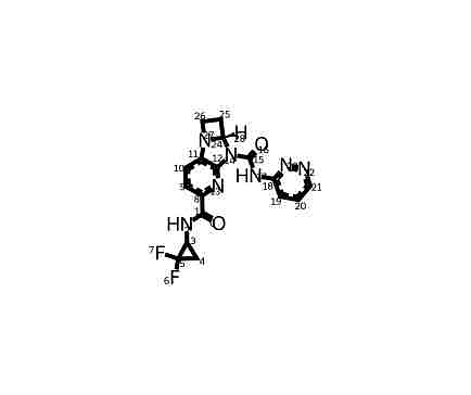 O=C(NC1CC1(F)F)c1ccc2c(n1)N(C(=O)Nc1cccnn1)[C@H]1CCN21